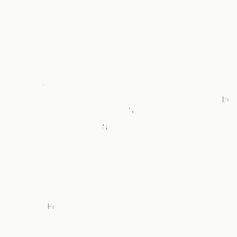 Brc1ccc(-c2ccc3c4ccc(-c5ccc(Br)cc5)cc4c4nc5c(-c6cccc7c6-c6ccccc6C76c7ccccc7-c7ccccc76)sc(-c6cccc7c6-c6ccccc6C76c7ccccc7-c7ccccc76)c5nc4c3c2)cc1